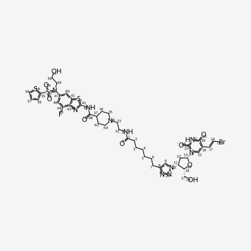 O=C(CCCCCCc1cn([C@@H]2C[C@H](n3cc(/C=C/Br)c(=O)[nH]c3=O)O[C@@H]2CO)nn1)NCCN1CCC(C(=O)Nc2nc3c(F)cc(N(CCO)S(=O)(=O)c4cccs4)cc3s2)CC1